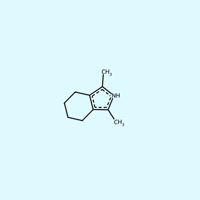 Cc1[nH]c(C)c2c1CCCC2